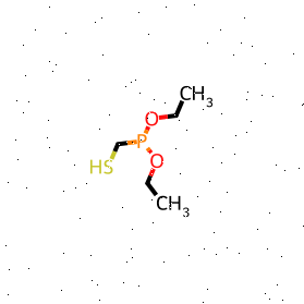 CCOP(CS)OCC